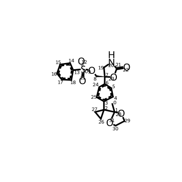 CC1(C2(c3ccc([C@]4(COS(=O)(=O)c5ccccc5)CNC(=O)O4)cc3)CC2)OCCO1